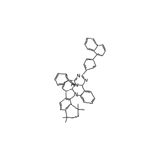 CC1(C)CCC(C)(C)c2c1ccc1c2N(c2ccccc2C2N=C(c3ccc(-c4cccc5ccccc45)cc3)N=C(c3ccccc3)N2)C2C=CC=CC12